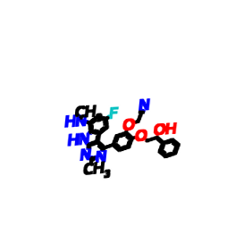 CNc1cc(F)cc2c1[nH]c1nc(C)nc(-c3ccc(OC[C@H](O)c4ccccc4)c(OCC#N)c3)c12